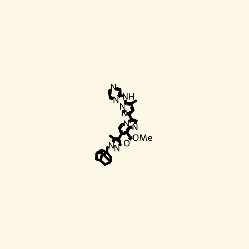 COC(=O)c1c(-c2cnn(CC34CC5CC(CC(C5)C3)C4)c2C)ccn2c(-c3cc(C)c(Nc4cnccn4)nn3)cnc12